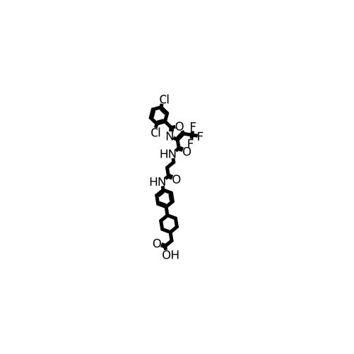 O=C(O)CC1CCC(c2ccc(NC(=O)CCNC(=O)c3nc(-c4cc(Cl)ccc4Cl)oc3C(F)(F)F)cc2)CC1